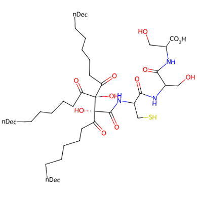 CCCCCCCCCCCCCCCC(=O)C(O)(C(=O)CCCCCCCCCCCCCCC)[C@](O)(C(=O)CCCCCCCCCCCCCCC)C(=O)NC(CS)C(=O)NC(CO)C(=O)NC(CO)C(=O)O